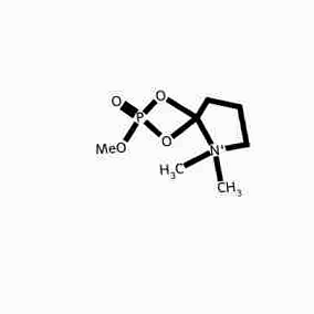 COP1(=O)OC2(CCC[N+]2(C)C)O1